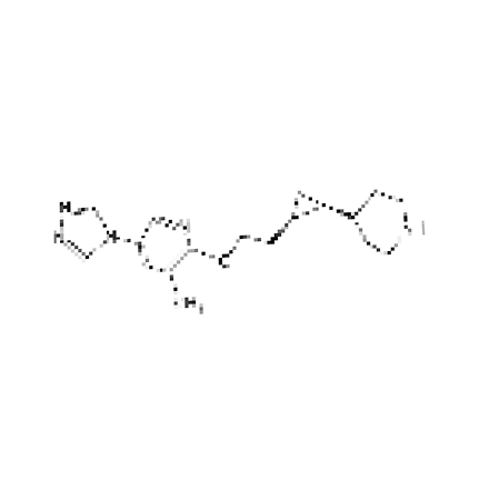 Cc1cc(-n2cnnn2)cnc1OCC[C@H]1C[C@H]1C1CCNCC1